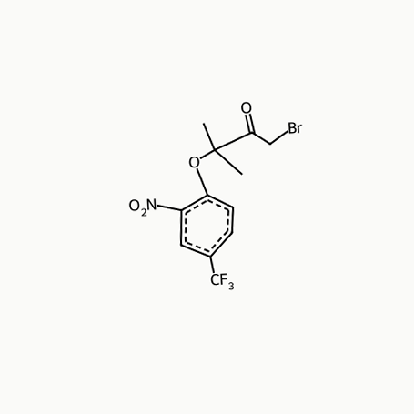 CC(C)(Oc1ccc(C(F)(F)F)cc1[N+](=O)[O-])C(=O)CBr